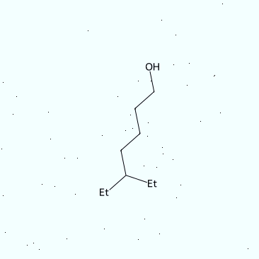 CCC(CC)CCCCO